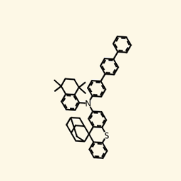 CC1(C)CCC(C)(C)c2c(N(c3ccc(-c4ccc(-c5ccccc5)cc4)cc3)c3ccc4c(c3)C3(c5ccccc5S4)C4CC5CC(C4)CC3C5)cccc21